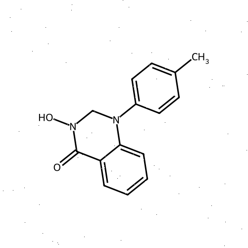 Cc1ccc(N2CN(O)C(=O)c3ccccc32)cc1